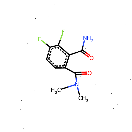 CN(C)C(=O)c1ccc(F)c(F)c1C(N)=O